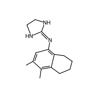 Cc1cc(N=C2NCCN2)c2c(c1C)CCCC2